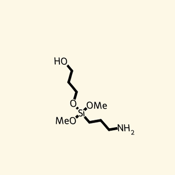 CO[Si](CCCN)(OC)OCCCO